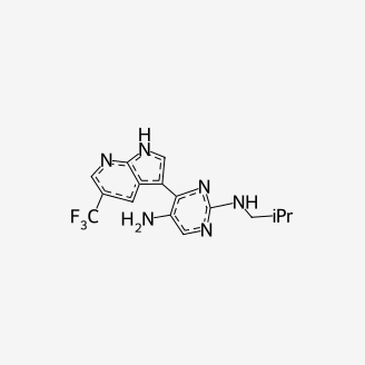 CC(C)CNc1ncc(N)c(-c2c[nH]c3ncc(C(F)(F)F)cc23)n1